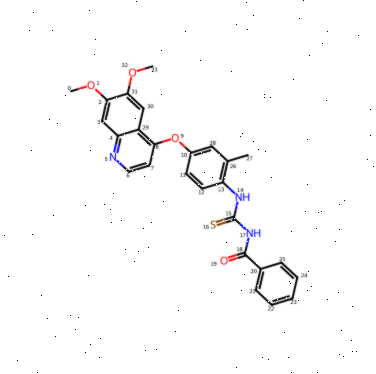 COc1cc2nccc(Oc3ccc(NC(=S)NC(=O)c4ccccc4)c(C)c3)c2cc1OC